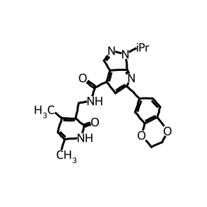 Cc1cc(C)c(CNC(=O)c2cc(-c3ccc4c(c3)OCCO4)nc3c2cnn3C(C)C)c(=O)[nH]1